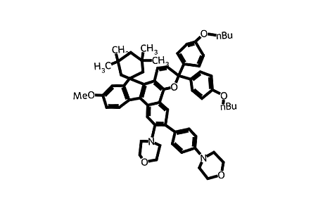 CCCCOc1ccc(C2(c3ccc(OCCCC)cc3)C=Cc3c4c(c5cc(N6CCOCC6)c(-c6ccc(N7CCOCC7)cc6)cc5c3O2)-c2ccc(OC)cc2C42CC(C)(C)CC(C)(C)C2)cc1